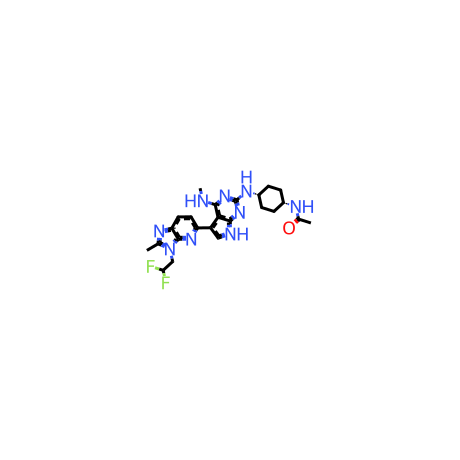 CNc1nc(N[C@H]2CC[C@@H](NC(C)=O)CC2)nc2[nH]cc(-c3ccc4nc(C)n(CC(F)F)c4n3)c12